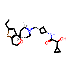 CCc1cc2c(s1)CCO[C@@]21CCN(C[C@H]2C[C@@H](NC(=O)C(O)C3CC3)C2)[C@@H](C)C1